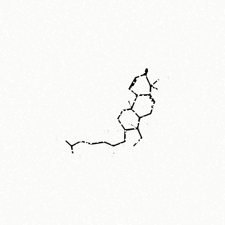 CC(C)CCC[C@@H](C)[C@H]1CC[C@H]2[C@@H]3CC=C4C(C)(C)C(=O)C=C[C@]4(C)[C@H]3CC[C@]12C